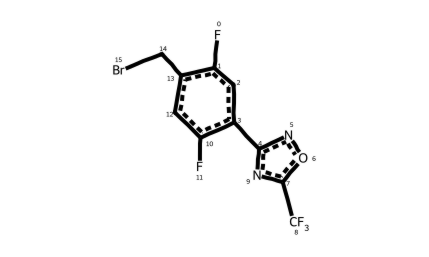 Fc1cc(-c2noc(C(F)(F)F)n2)c(F)cc1CBr